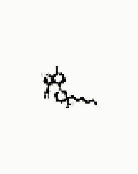 CCCCCCC1(NC)CCCN(C2=CCNc3[nH]cc(C#N)c32)C1